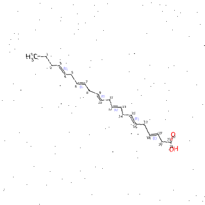 CCC/C=C/C/C=C/C/C=C/C/C=C/C/C=C/C/C=C/CC(=O)O